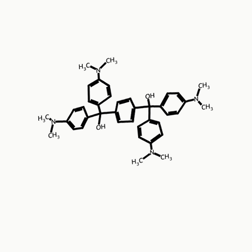 CN(C)c1ccc(C(O)(c2ccc(N(C)C)cc2)c2ccc(C(O)(c3ccc(N(C)C)cc3)c3ccc(N(C)C)cc3)cc2)cc1